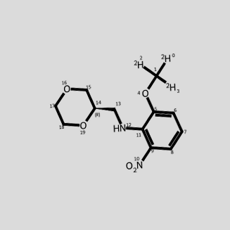 [2H]C([2H])([2H])Oc1cccc([N+](=O)[O-])c1NC[C@@H]1COCCO1